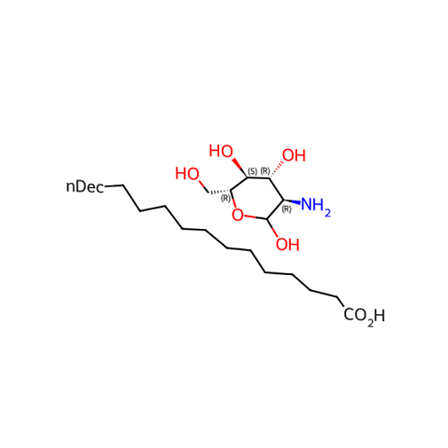 CCCCCCCCCCCCCCCCCCCCCC(=O)O.N[C@H]1C(O)O[C@H](CO)[C@@H](O)[C@@H]1O